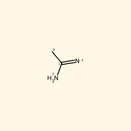 CC(=[N])N